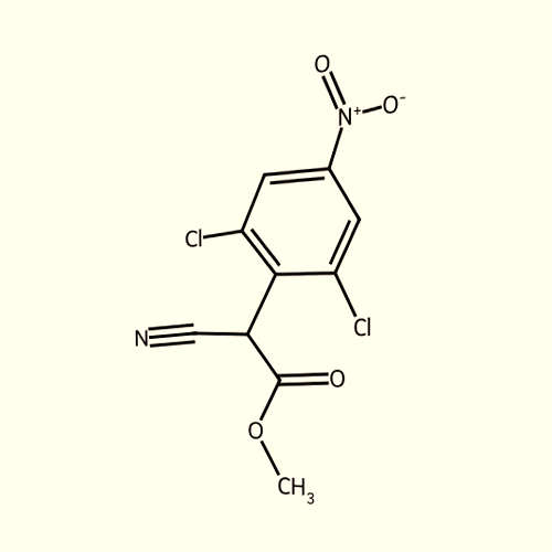 COC(=O)C(C#N)c1c(Cl)cc([N+](=O)[O-])cc1Cl